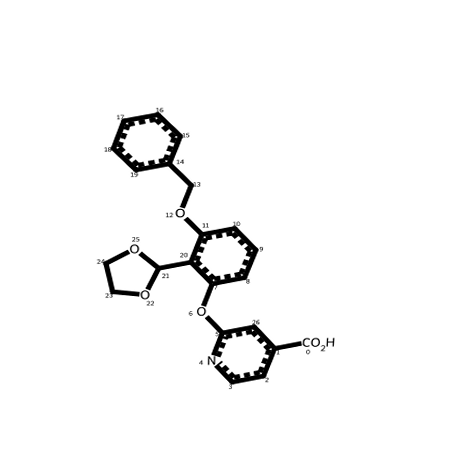 O=C(O)c1ccnc(Oc2cccc(OCc3ccccc3)c2C2OCCO2)c1